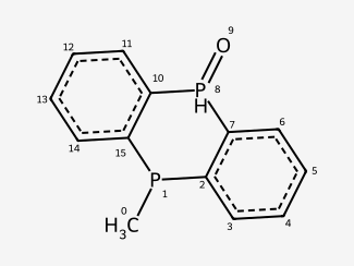 CP1c2ccccc2[PH](=O)c2ccccc21